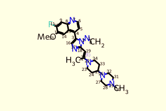 C=Nn1c(-c2ccnc3cc(F)c(OC)cc23)cnc1/C=C(\C)N1CCC(N2CCN(C)CC2)CC1